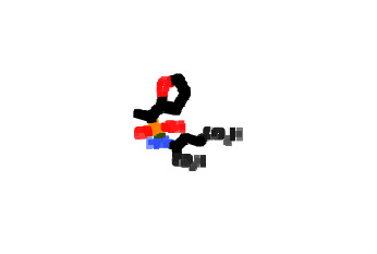 CC(C1CCCO1)P(=O)(O)NC(CCC(=O)O)C(=O)O